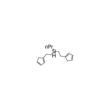 CCC[SiH](CCC1=CC=CC1)CCC1=CC=CC1